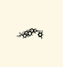 C[C@]12CCc3nc(Nc4ccc(F)cc4F)sc3C1=CC[C@@H]1[C@@H]2CC[C@]2(C)/C(=N/O)CC[C@@H]12